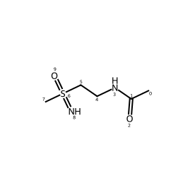 CC(=O)NCCS(C)(=N)=O